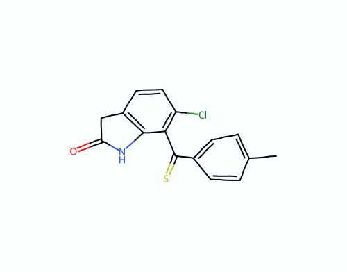 Cc1ccc(C(=S)c2c(Cl)ccc3c2NC(=O)C3)cc1